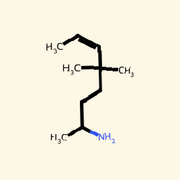 C/C=C\C(C)(C)CCC(C)N